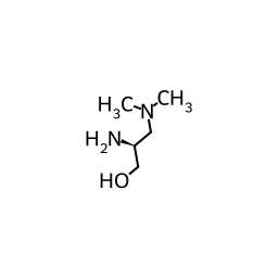 CN(C)C[C@H](N)CO